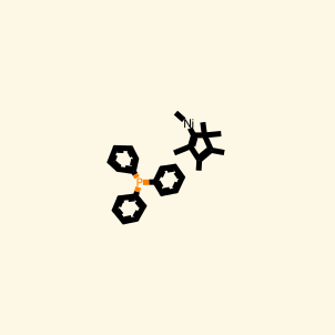 [CH3][Ni][C]1=C(C)C(C)=C(C)C1(C)C.c1ccc(P(c2ccccc2)c2ccccc2)cc1